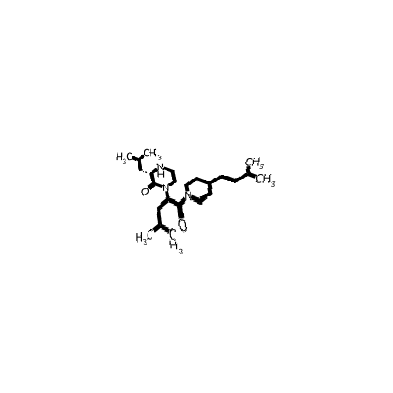 CC(C)CCC1CCN(C(=O)C(CC(C)C)N2CCN[C@@H](CC(C)C)C2=O)CC1